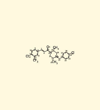 CC1CN(C(=O)C=Cc2ccc(Cl)c(C(F)(F)F)c2)C(C)CN1Cc1ccc(Cl)cc1